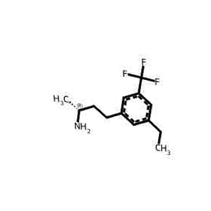 CCc1cc(CC[C@@H](C)N)cc(C(F)(F)F)c1